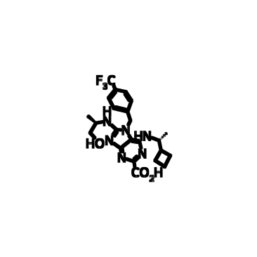 C[C@H](CO)Nc1nc2nc(C(=O)O)nc(N[C@H](C)C3CCC3)c2n1Cc1ccc(C(F)(F)F)cc1